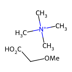 COCC(=O)O.C[N+](C)(C)C